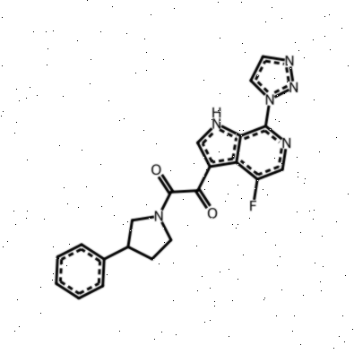 O=C(C(=O)N1CCC(c2ccccc2)C1)c1c[nH]c2c(-n3ccnn3)ncc(F)c12